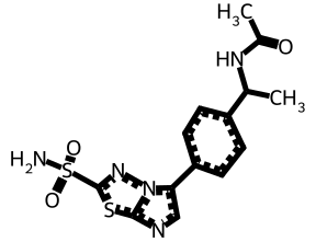 CC(=O)NC(C)c1ccc(-c2cnc3sc(S(N)(=O)=O)nn23)cc1